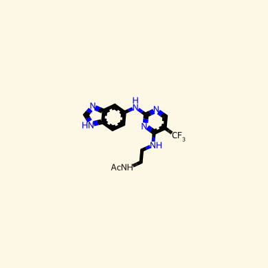 CC(=O)NCCNc1nc(Nc2ccc3[nH]cnc3c2)ncc1C(F)(F)F